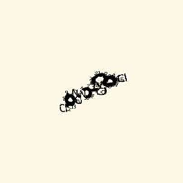 O=C(C1CCN(c2nc3ccc(Cl)cc3o2)CC1)N1CCCCc2cc(Cl)ccc21